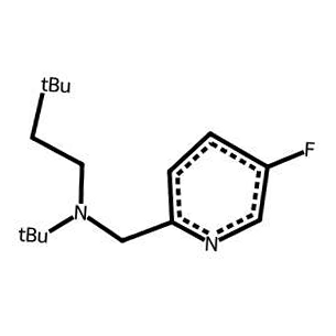 CC(C)(C)CCN(Cc1ccc(F)cn1)C(C)(C)C